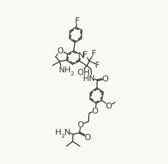 COc1cc(C(=O)NCC(O)(c2cc3c(c(-c4ccc(F)cc4)n2)OCC3(C)N)C(F)(F)F)ccc1OCCOC(=O)C(N)C(C)C